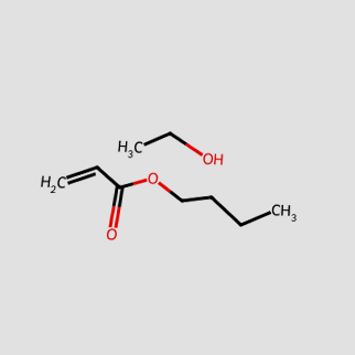 C=CC(=O)OCCCC.CCO